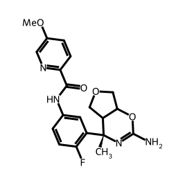 COc1ccc(C(=O)Nc2ccc(F)c([C@@]3(C)N=C(N)OC4COCC43)c2)nc1